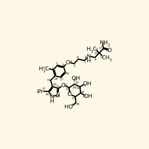 Cc1cc(OCCCNCC(C)(C)C(N)=O)ccc1Cc1c(OC2OC(CO)C(O)C(O)[C@H]2O)n[nH]c1C(C)C